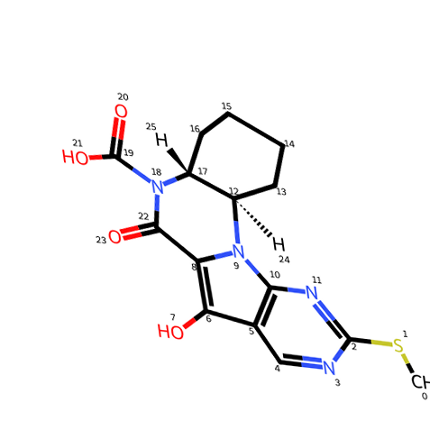 CSc1ncc2c(O)c3n(c2n1)[C@@H]1CCCC[C@H]1N(C(=O)O)C3=O